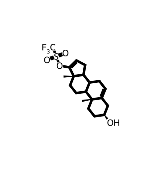 C[C@]12CC[C@H](O)CC1=CCC1C2CC[C@]2(C)C(OS(=O)(=O)C(F)(F)F)=CCC12